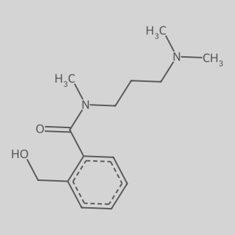 CN(C)CCCN(C)C(=O)c1ccccc1CO